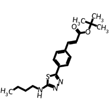 CCCCNc1nnc(-c2ccc(/C=C/C(=O)OC(C)(C)C)cc2)s1